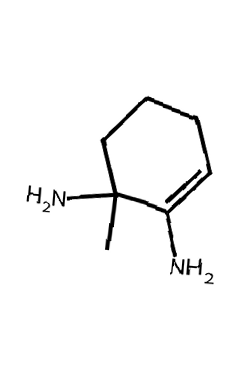 CC1(N)CCCC=C1N